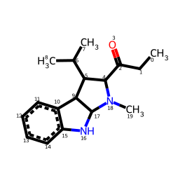 CCC(=O)C1C(C(C)C)C2c3ccccc3NC2N1C